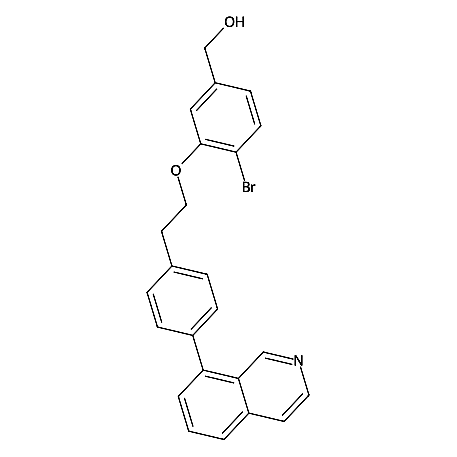 OCc1ccc(Br)c(OCCc2ccc(-c3cccc4ccncc34)cc2)c1